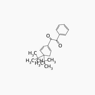 CC(C)(C)C1(C(C)(C)C)C=CC(C(=O)C(=O)c2ccccc2)=CC1